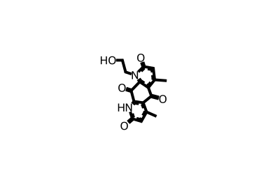 Cc1cc(=O)[nH]c2c1C(=O)c1c(C)cc(=O)n(CCO)c1C2=O